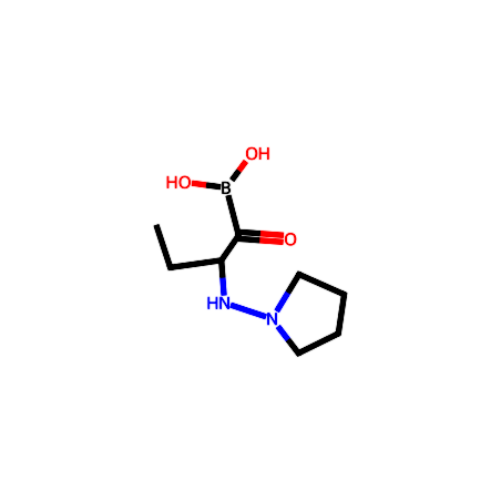 CCC(NN1CCCC1)C(=O)B(O)O